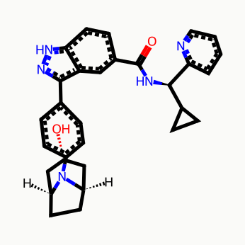 O=C(N[C@@H](c1ccccn1)C1CC1)c1ccc2[nH]nc(-c3ccc(N4[C@@H]5CC[C@H]4C[C@H](O)C5)cc3)c2c1